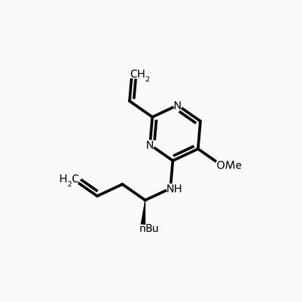 C=CC[C@H](CCCC)Nc1nc(C=C)ncc1OC